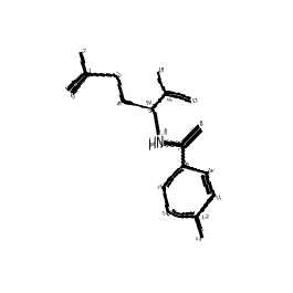 C=C(C)CC[C@H](NC(=C)c1ccc(C)cc1)C(=C)C